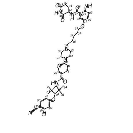 CC1(C)[C@H](NC(=O)c2ccc(N3CCN(CCCCCOc4ccc(=N)n(C(=O)NC5CCC(=O)NC5=O)c4)CC3)nc2)C(C)(C)[C@H]1Oc1ccc(C#N)c(Cl)c1